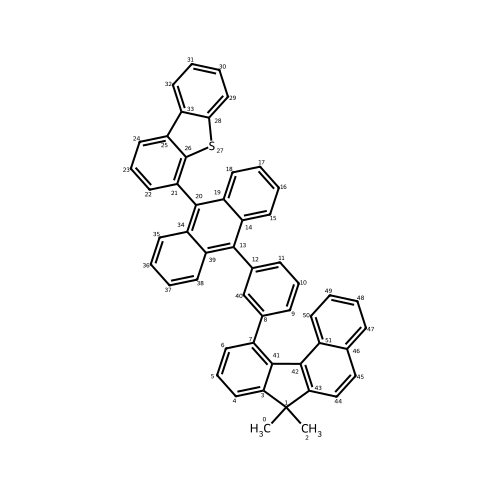 CC1(C)c2cccc(-c3cccc(-c4c5ccccc5c(-c5cccc6c5sc5ccccc56)c5ccccc45)c3)c2-c2c1ccc1ccccc21